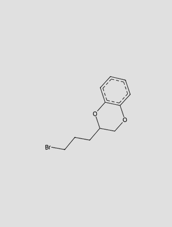 BrCCCC1COc2ccccc2O1